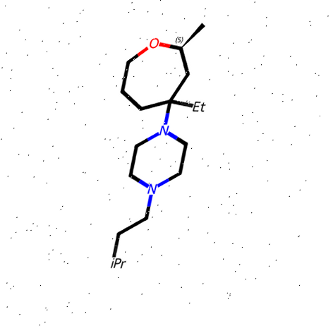 CCC1(N2CCN(CCC(C)C)CC2)CCCO[C@@H](C)C1